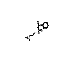 CN(C)CCCNc1nc2ccccc2[n+]([O-])n1